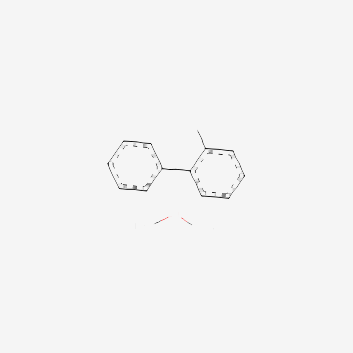 CC(C)(C)OC=O.Cc1ccccc1-c1ccccc1